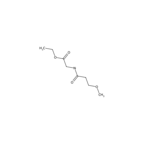 CCOC(=O)C[N]C(=O)CCOC